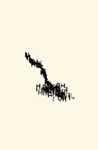 CN1CCN(c2ccc3nc(-c4ccc(OCCn5cc(CCCCc6cn(C[C@H]7OC(O[C@@H]8C(O)[C@H](N)CC(N)[C@H]8O[C@H]8OC(CN)[C@@H](O)[C@H](O)C8N)[C@@H](O)[C@H]7O[C@H]7O[C@@H](CN)[C@@H](O)C(O)C7N)nn6)nn5)cc4)[nH]c3c2)CC1